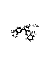 CC(=O)Nc1nc(-c2ccc(Cl)c(C)c2)c(CN2CCCC[C@H]2C)s1